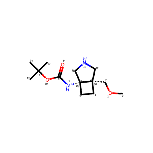 COC[C@]12CC[C@@]1(NC(=O)OC(C)(C)C)CNC2